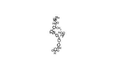 Cc1cc(-c2ccnc3cc(-c4ccc(CN5CCC(c6ccc(NC7CCC(=O)NC7=O)cc6)CC5)cc4)nn23)ccc1CNC(=O)c1noc(C(C)(C)C)n1.O=C(O)C(F)(F)F